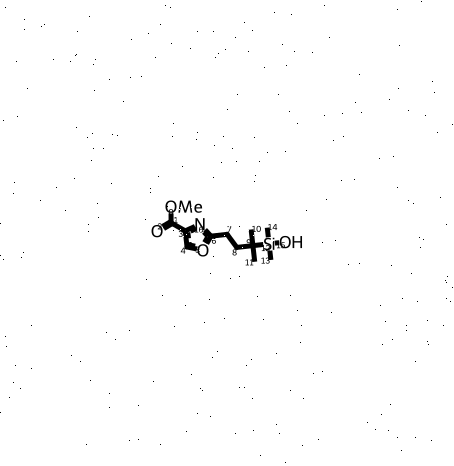 COC(=O)c1coc(CCC(C)(C)[Si](C)(C)O)n1